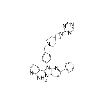 Nc1ncccc1-c1nc2ccc(-c3ccccc3)nc2n1-c1ccc(CN2CCC3(CC2)CN(c2ncncn2)C3)cc1